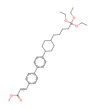 CCO[Si](CCCCC1CCC(c2ccc(-c3ccc(/C=C/C(=O)OC)cc3)cc2)CC1)(OCC)OCC